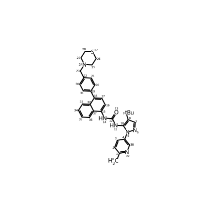 Cc1ccc(-n2ncc(C(C)(C)C)c2NC(=O)Nc2ccc(-c3ccc(CN4CCSCC4)cc3)c3ccccc23)cn1